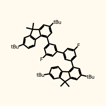 CC(C)(C)c1ccc2c(c1)C(C)(C)c1cc(C(C)(C)C)cc(-c3cc(F)cc(-c4cc(F)cc(-c5cc(C(C)(C)C)cc6c5-c5ccc(C(C)(C)C)cc5C6(C)C)c4)c3)c1-2